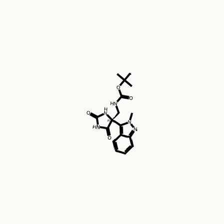 Cn1nc2ccccc2c1[C@@]1(CNC(=O)OC(C)(C)C)NC(=O)NC1=O